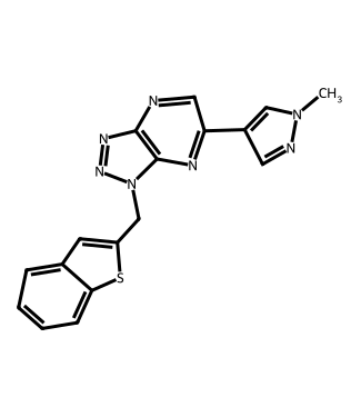 Cn1cc(-c2cnc3nnn(Cc4cc5ccccc5s4)c3n2)cn1